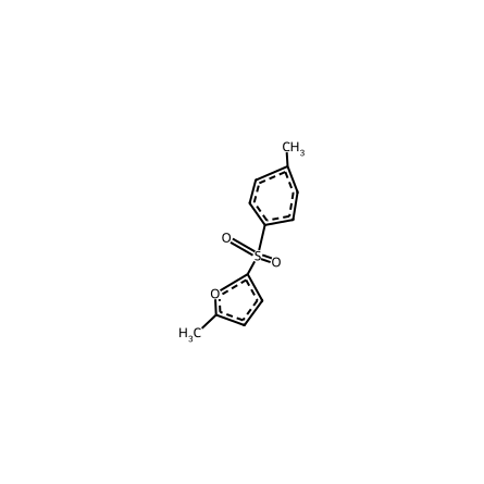 Cc1ccc(S(=O)(=O)c2ccc(C)o2)cc1